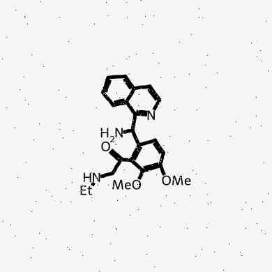 CCNCC(=O)c1c(C(N)c2nccc3ccccc23)ccc(OC)c1OC